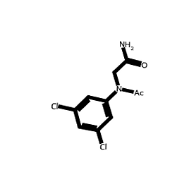 CC(=O)N(CC(N)=O)c1cc(Cl)cc(Cl)c1